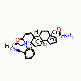 C=CC[N+]1(c2ccccc2C#N)C(=O)C=C[C@]2(C)[C@H]3CC[C@]4(C)[C@H](C(N)=O)CC[C@H]4[C@@H]3CC[C@@H]21